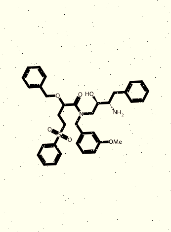 COc1cccc(CN(C[C@@H](O)[C@@H](N)Cc2ccccc2)C(=O)C(CCS(=O)(=O)c2ccccc2)OCc2ccccc2)c1